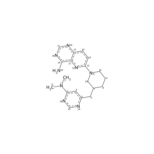 CN(C)c1cc(CC2CCCN(c3ccc4ncnc(N)c4n3)C2)ncn1